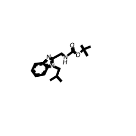 CC(C)Cn1c(CNC(=O)OC(C)(C)C)nc2ccccc21